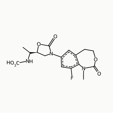 CC(NC(=O)O)[C@@H]1CN(c2cc(F)c3c(c2)CCOC(=O)N3C)C(=O)O1